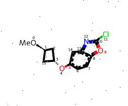 CO[C@H]1C[C@H](Oc2ccc3oc(Cl)nc3c2)C1